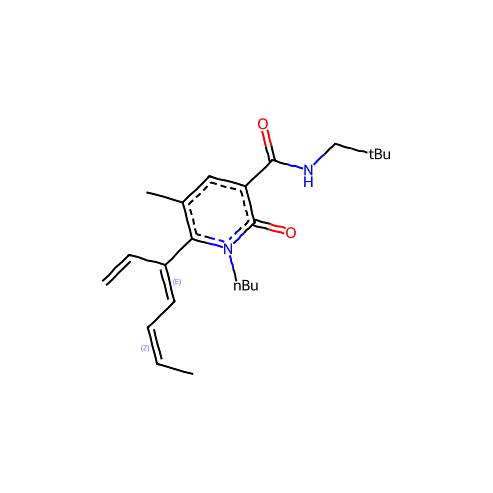 C=C/C(=C\C=C/C)c1c(C)cc(C(=O)NCC(C)(C)C)c(=O)n1CCCC